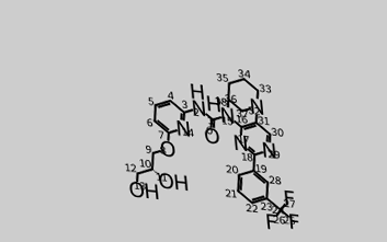 O=C(Nc1cccc(OC[C@H](O)CO)n1)N1c2nc(-c3cccc(C(F)(F)F)c3)ncc2N2CCC[C@H]1C2